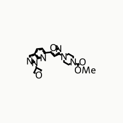 COC(=O)N1CCN(c2cc(-c3ccc4cnn(C5COC5)c4n3)on2)CC1